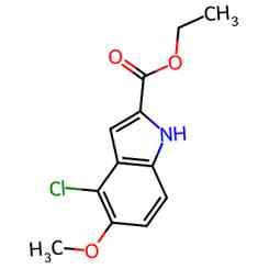 CCOC(=O)c1cc2c(Cl)c(OC)ccc2[nH]1